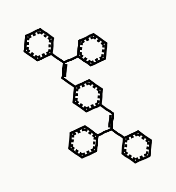 C(=C(c1ccccc1)c1ccccc1)c1ccc(C=C(c2ccccc2)c2ccccc2)cc1